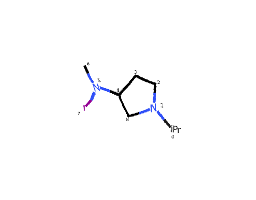 CC(C)N1CCC(N(C)I)C1